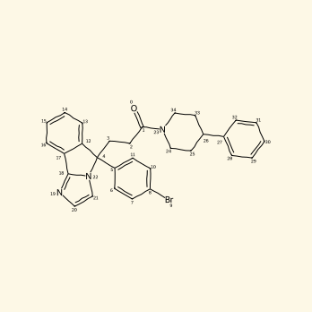 O=C(CCC1(c2ccc(Br)cc2)c2ccccc2-c2nccn21)N1CCC(c2ccccc2)CC1